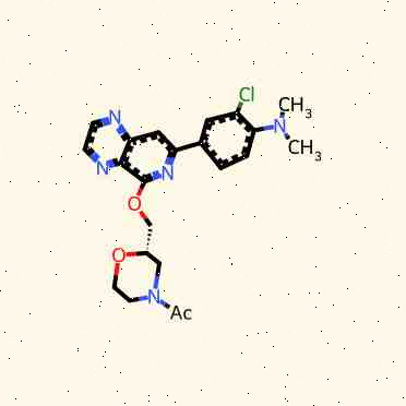 CC(=O)N1CCO[C@H](COc2nc(-c3ccc(N(C)C)c(Cl)c3)cc3nccnc23)C1